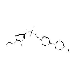 CCOc1ccc(OC(F)(F)COC2CCC(C3CCC(CC)CC3)CC2)cc1F